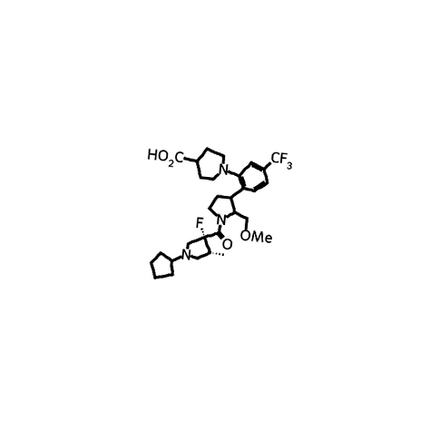 COCC1C(c2ccc(C(F)(F)F)cc2N2CCC(C(=O)O)CC2)CCN1C(=O)[C@]1(F)CN(C2CCCC2)C[C@H]1C